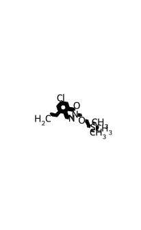 C=CCc1cc(Cl)cc2c(=O)n(COCC[Si](C)(C)C)ncc12